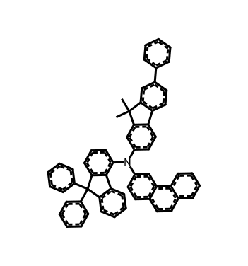 CC1(C)c2cc(-c3ccccc3)ccc2-c2ccc(N(c3ccc4ccc5ccccc5c4c3)c3cccc4c3-c3ccccc3C4(c3ccccc3)c3ccccc3)cc21